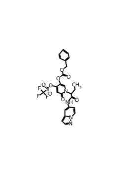 CCC(C(=O)Nc1ccn2nccc2c1)n1cc(OC(=O)OCc2ccccc2)c(OS(=O)(=O)C(F)(F)F)cc1=O